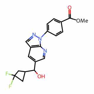 COC(=O)c1ccc(-n2ncc3cc(C(O)C4CC(F)(F)C4)cnc32)cc1